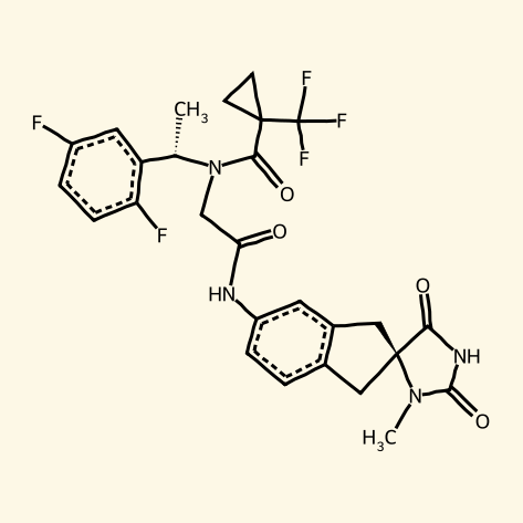 C[C@@H](c1cc(F)ccc1F)N(CC(=O)Nc1ccc2c(c1)C[C@@]1(C2)C(=O)NC(=O)N1C)C(=O)C1(C(F)(F)F)CC1